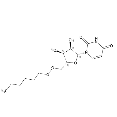 CCCCCCOOC[C@H]1O[C@@H](n2ccc(=O)[nH]c2=O)[C@H](O)[C@@H]1O